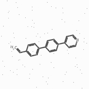 C=Cc1ccc(-c2ccc(-c3ccncc3)cc2)cc1